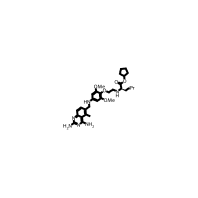 COc1cc(NCc2ccc3nc(N)nc(N)c3c2C)cc(OC)c1OCCN[C@H](CC(C)C)C(=O)OC1CCCC1